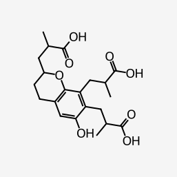 CC(Cc1c(O)cc2c(c1CC(C)C(=O)O)OC(CC(C)C(=O)O)CC2)C(=O)O